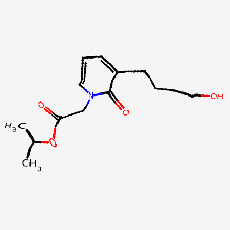 CC(C)OC(=O)Cn1cccc(CCCCO)c1=O